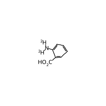 [2H]N([2H])c1ccccc1C(=O)O